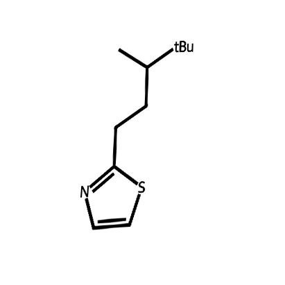 CC(CCc1nccs1)C(C)(C)C